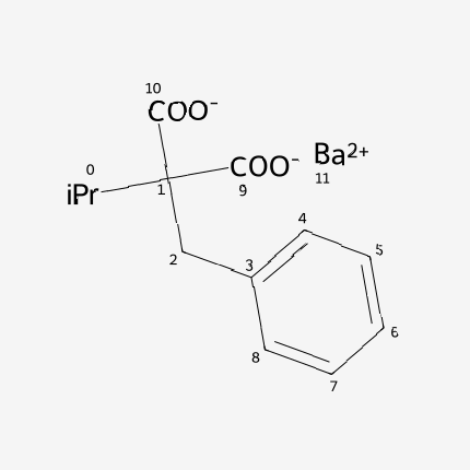 CC(C)C(Cc1ccccc1)(C(=O)[O-])C(=O)[O-].[Ba+2]